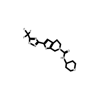 O=C(NC1CCOCC1)N1CCc2cc(-c3noc(C(F)(F)F)n3)sc2C1